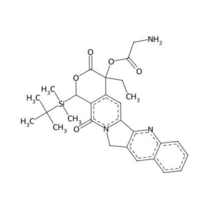 CCC1(OC(=O)CN)C(=O)OC([Si](C)(C)C(C)(C)C)c2c1cc1n(c2=O)Cc2cc3ccccc3nc2-1